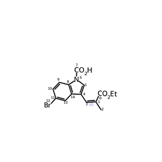 CCOC(=O)/C(C)=C\c1cn(C(=O)O)c2ccc(Br)cc12